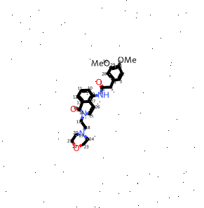 COc1ccc(CC(=O)Nc2cccc3c(=O)n(CCN4CCOCC4)ccc23)cc1OC